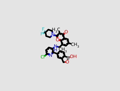 Cc1cc(C(C)Nc2ccc(Cl)nc2-c2ccc3c(c2)COB3O)c2oc(N3CCC(F)(F)CC3)c(C)c(=O)c2c1